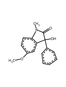 COc1ccc2c(c1)C(O)(c1ccccc1)C(=O)N2C